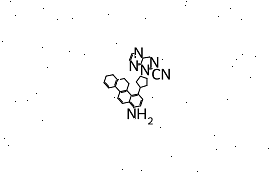 N#Cc1ncc2nccnc2n1.Nc1ccc(C2CCCC2)c2c3c(ccc12)C1=C(CCC=C1)CC3